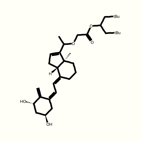 C=C1/C(=C\C=C2/CCC[C@]3(C)C(C(C)OCC(=O)OC(CC(C)(C)C)CC(C)(C)C)=CC[C@@H]23)C[C@@H](O)C[C@@H]1O